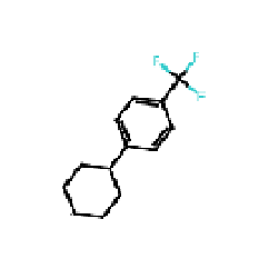 FC(F)(F)c1ccc(C2CC[CH]CC2)cc1